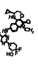 Cn1c(=O)c2c(c3cc(Nc4nc(N5CCC(F)(F)[C@H](O)C5)ncc4Cl)ccc31)NC(C1CC1)CCO2